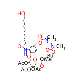 COC(=O)[C@H]1O[C@@H](Oc2ccc(COC(=O)N(C)CCN(C)C(=O)OC(C)(C)C)cc2NC(=O)CCCCCCCCCO)[C@H](OC(C)=O)[C@@H](OC(C)=O)[C@@H]1OC(C)=O